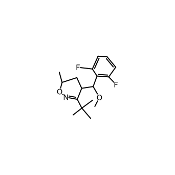 COC(c1c(F)cccc1F)C1CC(C)ON=C1C(C)(C)C